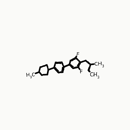 CCC(C)Cc1c(F)cc(-c2ccc(C3CCC(C)CC3)cc2)cc1F